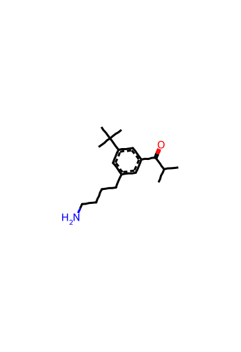 CC(C)C(=O)c1cc(CCCCN)cc(C(C)(C)C)c1